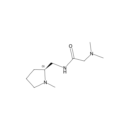 CN(C)CC(=O)NC[C@@H]1CCCN1C